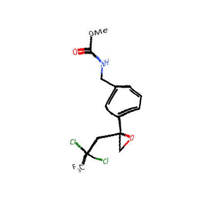 COC(=O)NCc1cccc(C2(CC(Cl)(Cl)C(F)(F)F)CO2)c1